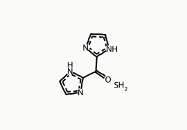 O=C(c1ncc[nH]1)c1ncc[nH]1.S